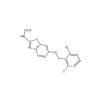 O=C(O)Nc1nc2ccc(OCc3c(Cl)cccc3Cl)cc2s1